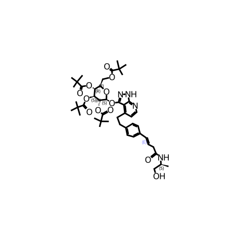 C[C@@H](CO)NC(=O)C/C=C/c1ccc(CCc2ccnc3[nH]nc(O[C@@H]4O[C@H](COC(=O)C(C)(C)C)[C@@H](OC(=O)C(C)(C)C)[C@H](OC(=O)C(C)(C)C)[C@H]4OC(=O)C(C)(C)C)c23)cc1